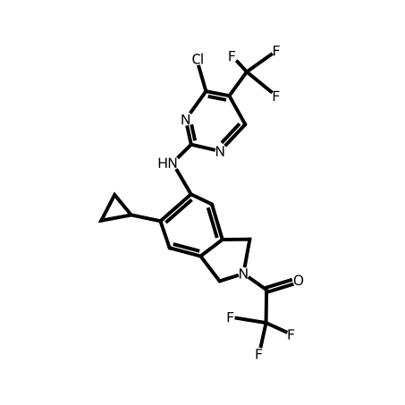 O=C(N1Cc2cc(Nc3ncc(C(F)(F)F)c(Cl)n3)c(C3CC3)cc2C1)C(F)(F)F